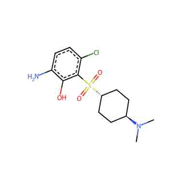 CN(C)[C@H]1CC[C@H](S(=O)(=O)c2c(Cl)ccc(N)c2O)CC1